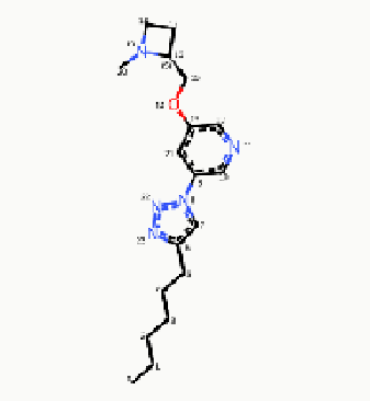 CCCCCCc1cn(-c2cncc(OC[C@@H]3CCN3C)c2)nn1